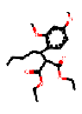 CCCCC(c1ccc(OC)cc1OC)C(C(=O)OCC)C(=O)OCC